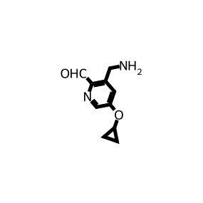 NCc1cc(OC2CC2)cnc1C=O